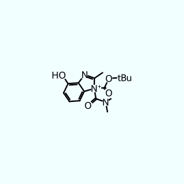 CC1=Nc2c(O)cccc2[N+]1(C(=O)OC(C)(C)C)C(=O)N(C)C